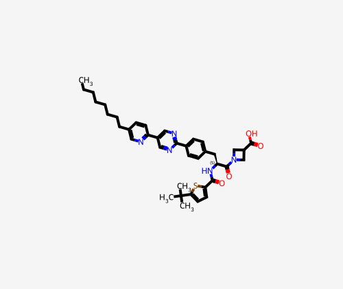 CCCCCCCCc1ccc(-c2cnc(-c3ccc(C[C@H](NC(=O)c4ccc(C(C)(C)C)s4)C(=O)N4CC(C(=O)O)C4)cc3)nc2)nc1